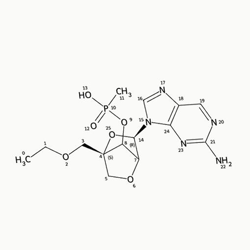 CCOC[C@]12COC(C1OP(C)(=O)O)[C@H](n1cnc3cnc(N)nc31)O2